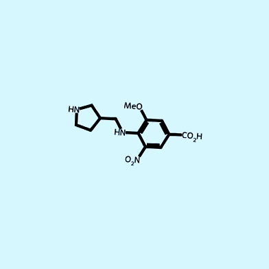 COc1cc(C(=O)O)cc([N+](=O)[O-])c1NCC1CCNC1